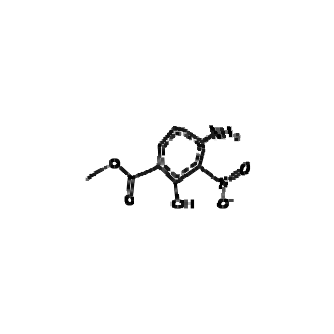 COC(=O)c1ccc(N)c([N+](=O)[O-])c1O